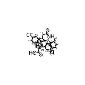 Cc1ccc(Cl)cc1[C@@H]1NC(=O)C[C@H](c2cc(Cl)cnc2OC(C)(C)C(=O)O)[C@@]12C(=O)Nc1cc(Cl)ccc12